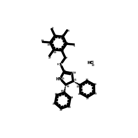 Cc1c(C)c(C)c(CSC2=N[C@H](c3ccccc3)[C@H](c3ccccc3)N2)c(C)c1C.Cl